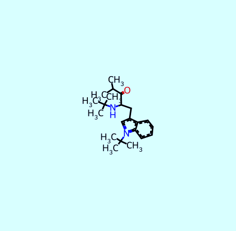 CC(C)C(=O)C(Cc1cn(C(C)(C)C)c2ccccc12)NC(C)(C)C